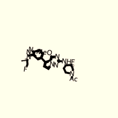 COc1nc(N[C@H]2CCN(C(C)=O)C[C@H]2F)nn2ccc(-c3ccc4nnn([C@H](C)CF)c4c3)c12